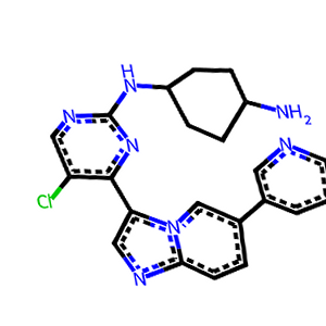 NC1CCC(Nc2ncc(Cl)c(-c3cnc4ccc(-c5cccnc5)cn34)n2)CC1